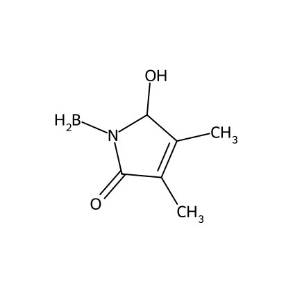 BN1C(=O)C(C)=C(C)C1O